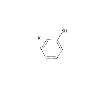 Sc1cccnc1.[KH]